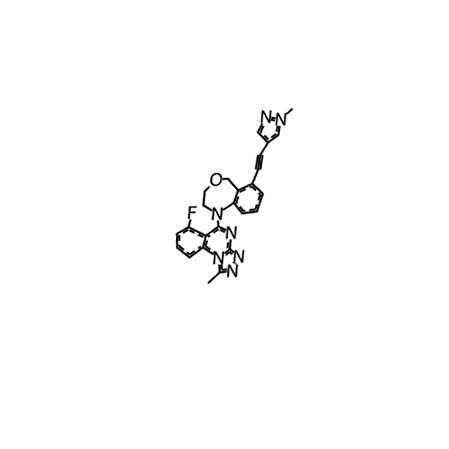 Cc1nnc2nc(N3CCOCc4c(C#Cc5cnn(C)c5)cccc43)c3c(F)cccc3n12